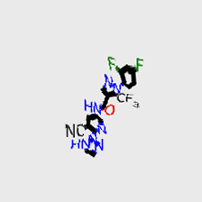 N#Cc1cc(NC(=O)c2cnn(-c3ccc(F)cc3F)c2C(F)(F)F)cnc1N1N=CCN1